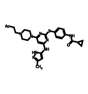 CC(=O)CCN1CCN(c2cc(Nc3cc(C)n[nH]3)nc(Sc3ccc(NC(=O)C4CC4)cc3)n2)CC1